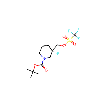 CC(C)(C)OC(=O)N1CCC[C@@](F)(COS(=O)(=O)C(F)(F)F)C1